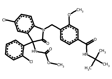 COC(=O)NC1(c2ccccc2Cl)C(=O)N(Cc2ccc(C(=O)NC(C)(C)C)cc2OC)c2ccc(Cl)cc21